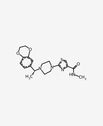 CNC(=O)c1csc(N2CCN([C@@H](C)c3ccc4c(c3)OCCO4)CC2)n1